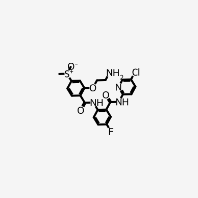 C[S+]([O-])c1ccc(C(=O)Nc2ccc(F)cc2C(=O)Nc2ccc(Cl)cn2)c(OCCN)c1